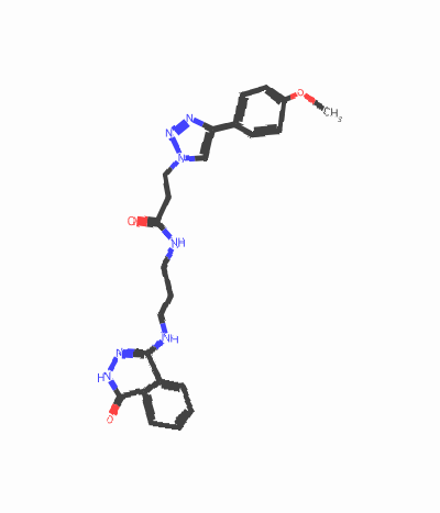 COc1ccc(-c2cn(CCC(=O)NCCCNc3n[nH]c(=O)c4ccccc34)nn2)cc1